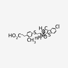 CCCN(CCSc1ccc(CCC(=O)O)c(C)c1)S(=O)(=O)c1sc2ccc(Cl)cc2c1C